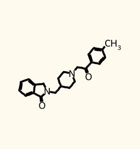 Cc1ccc(C(=O)CN2CCC(CN3Cc4ccccc4C3=O)CC2)cc1